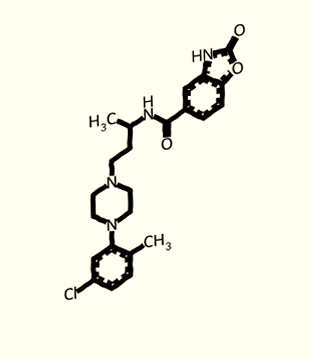 Cc1ccc(Cl)cc1N1CCN(CCC(C)NC(=O)c2ccc3oc(=O)[nH]c3c2)CC1